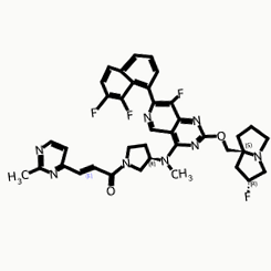 Cc1nccc(/C=C/C(=O)N2CC[C@@H](N(C)c3nc(OC[C@@]45CCCN4C[C@H](F)C5)nc4c(F)c(-c5cccc6ccc(F)c(F)c56)ncc34)C2)n1